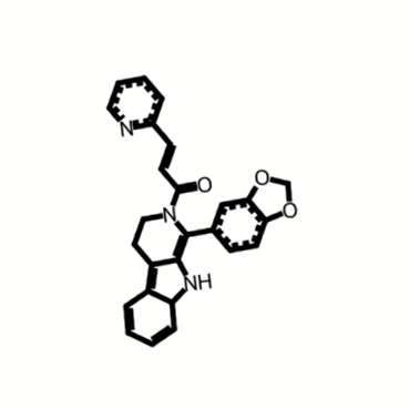 O=C(/C=C/c1ccccn1)N1CCC2=C3C=CC=CC3NC2=C1c1ccc2c(c1)OCO2